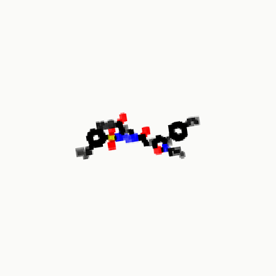 COC(=O)[C@H](CNC(=O)C[C@@H]1C[C@H](c2ccc(C#N)cc2)N(C)O1)NS(=O)(=O)c1cccc(C)c1